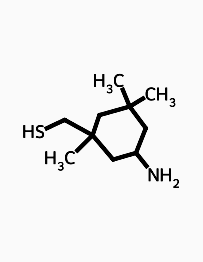 CC1(C)CC(N)CC(C)(CS)C1